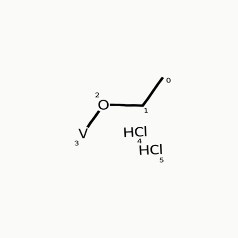 CC[O][V].Cl.Cl